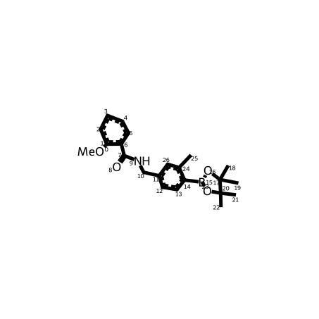 COc1ccccc1C(=O)NCc1ccc(B2OC(C)(C)C(C)(C)O2)c(C)c1